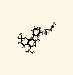 CN(C)c1nc2sc3c(NCCC#N)ncnc3c2c2c1CCC(C)(C)C2